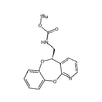 CC(C)(C)OC(=O)NC[C@@H]1Oc2ccccc2Oc2ncccc21